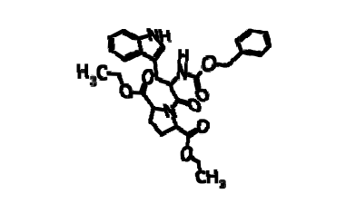 CCOC(=O)C1CCC(C(=O)OCC)N1C(=O)C(Cc1c[nH]c2ccccc12)NC(=O)OCc1ccccc1